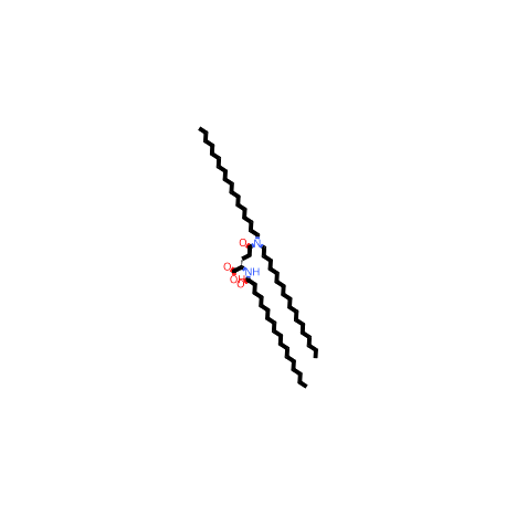 CCCCCCCCCCCCCCCCCCN(CCCCCCCCCCCCCCCCCC)C(=O)CC[C@H](NC(=O)CCCCCCCCCCCCCCCCC)C(=O)O